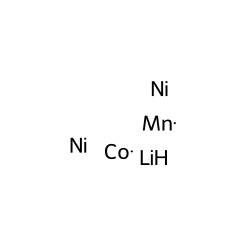 [Co].[LiH].[Mn].[Ni].[Ni]